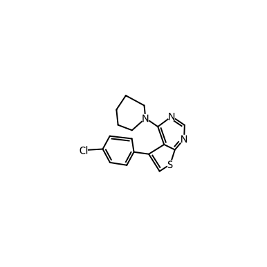 Clc1ccc(-c2csc3ncnc(N4CCCCC4)c23)cc1